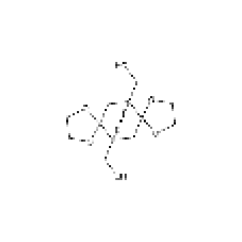 OCC12CCC(CO)(CC13OCCO3)C1(C2)OCCO1